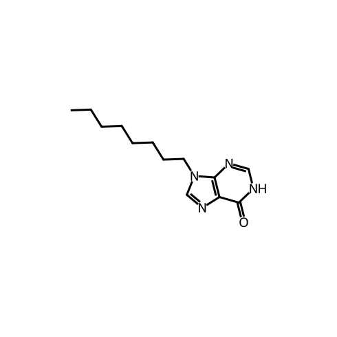 CCCCCCCCn1cnc2c(=O)[nH]cnc21